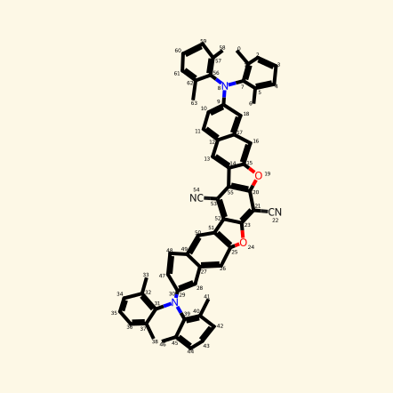 Cc1cccc(C)c1N(c1ccc2cc3c(cc2c1)oc1c(C#N)c2oc4cc5cc(N(c6c(C)cccc6C)c6c(C)cccc6C)ccc5cc4c2c(C#N)c13)c1c(C)cccc1C